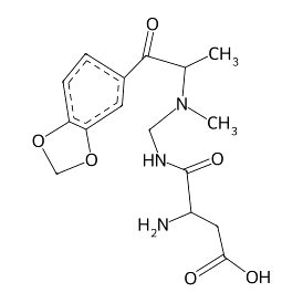 CC(C(=O)c1ccc2c(c1)OCO2)N(C)CNC(=O)C(N)CC(=O)O